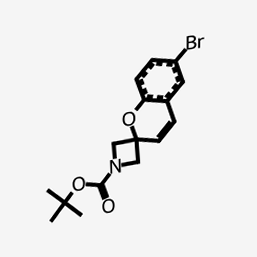 CC(C)(C)OC(=O)N1CC2(C=Cc3cc(Br)ccc3O2)C1